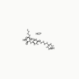 CCCCC(=O)NC(Cc1ccc(OCCCCC2CCNCC2)cc1)C(=O)O.Cl